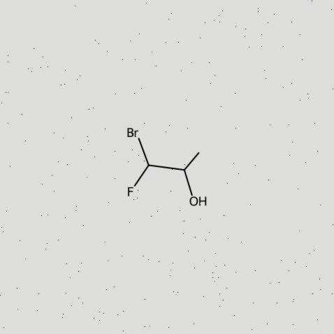 CC(O)C(F)Br